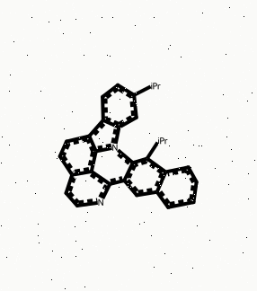 CC(C)c1ccc2c3ccc4ccnc5c6cc7ccccc7c(C(C)C)c6n(c2c1)c3c45